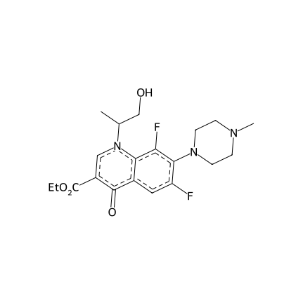 CCOC(=O)c1cn(C(C)CO)c2c(F)c(N3CCN(C)CC3)c(F)cc2c1=O